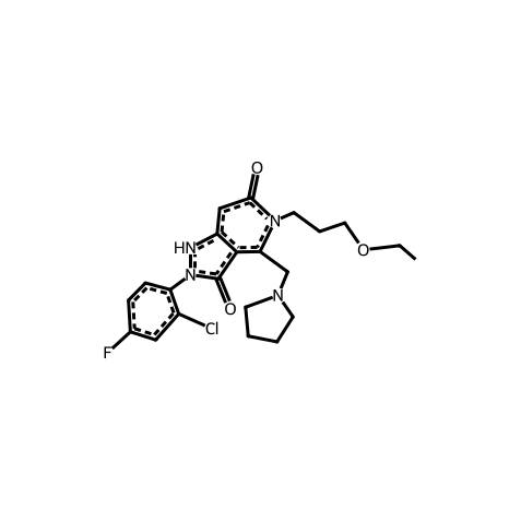 CCOCCCn1c(CN2CCCC2)c2c(=O)n(-c3ccc(F)cc3Cl)[nH]c2cc1=O